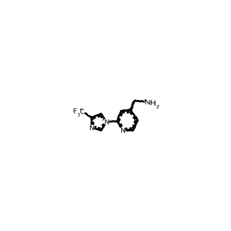 NCc1ccnc(-n2cnc(C(F)(F)F)c2)c1